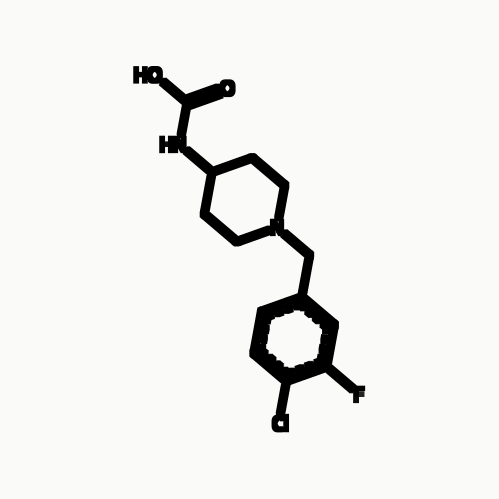 O=C(O)NC1CCN(Cc2ccc(Cl)c(F)c2)CC1